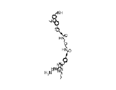 CCCSc1nc(NCCN)c2nnn(Cc3ccc(C#CC(=O)NCCOCCNC(=O)C#Cc4csc(-c5ccc6c7cc(CNC)ccc7n(CC)c6c5)c4)cc3)c2n1